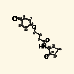 O=C(CCCOc1ccc(Cl)cc1)N[C@H]1CCCC1=O